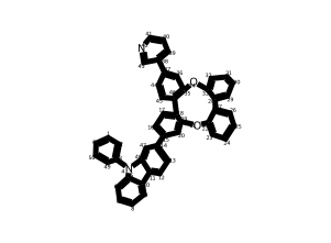 c1ccc(-n2c3ccccc3c3ccc(-c4ccc5c(c4)Oc4ccccc4-c4ccccc4Oc4cc(-c6cccnc6)ccc4-5)cc32)cc1